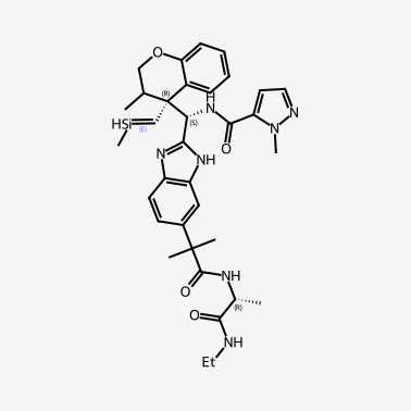 CCNC(=O)[C@@H](C)NC(=O)C(C)(C)c1ccc2nc([C@@H](NC(=O)c3ccnn3C)[C@]3(/C=[SiH]/C)c4ccccc4OCC3C)[nH]c2c1